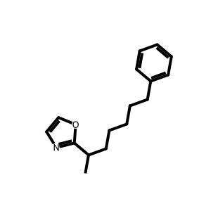 CC(CCCCCc1ccccc1)c1ncco1